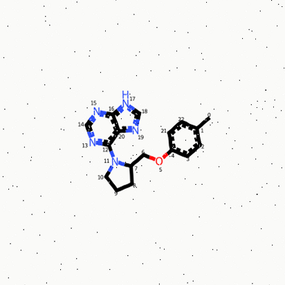 Cc1ccc(OCC2CCCN2c2ncnc3[nH]cnc23)cc1